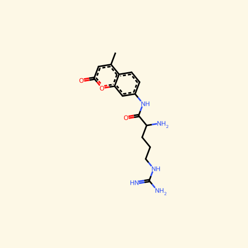 Cc1cc(=O)oc2cc(NC(=O)C(N)CCCNC(=N)N)ccc12